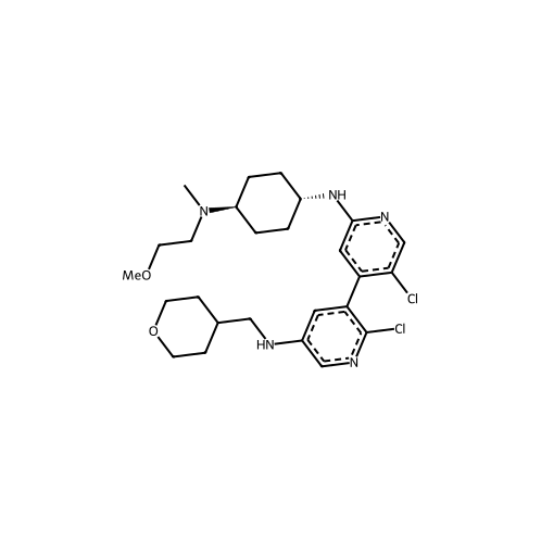 COCCN(C)[C@H]1CC[C@H](Nc2cc(-c3cc(NCC4CCOCC4)cnc3Cl)c(Cl)cn2)CC1